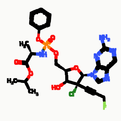 CC(C)OC(=O)[C@H](C)NP(=O)(OC[C@H]1O[C@@H](n2cnc3cnc(N)nc32)[C@@](Cl)(C#CCF)[C@H]1O)Oc1ccccc1